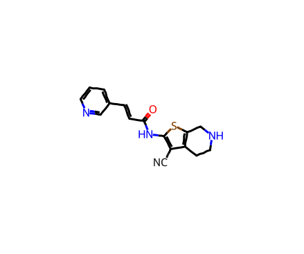 N#Cc1c(NC(=O)C=Cc2cccnc2)sc2c1CCNC2